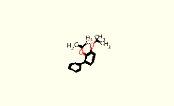 CC(C)Oc1cccc(-c2ccccc2)c1OC(C)C